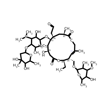 CC[C@H]1OC(=O)C[C@@H](O)[C@H](C)[C@@H](OC2OC(C)C(OC3CC(C)(O)C(O)C(C)O3)C(N(C)C)C2O)[C@@H](CC=O)C[C@@H](C)C(=O)CC/C(C)=C/[C@@H]1COC1OC(C)C(O)C(OC)C1C